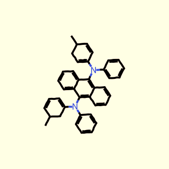 CC1C=CC(N(c2ccccc2)c2c3ccccc3c(N(C3=CC=CC(C)C3)c3ccccc3)c3ccccc23)=CC1